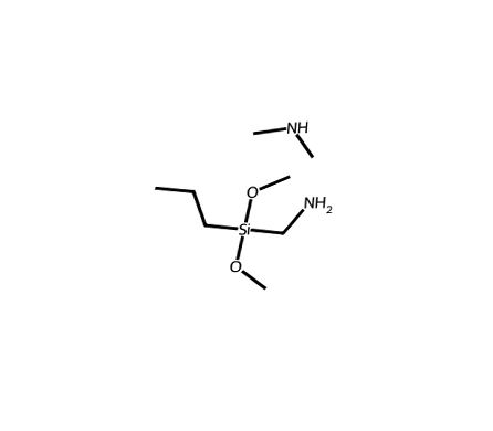 CCC[Si](CN)(OC)OC.CNC